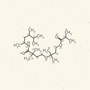 CC(CC(C)C(C)C)NC(=O)C(C)(C)CCOC(C)(C)CCOC(=O)C(C)C